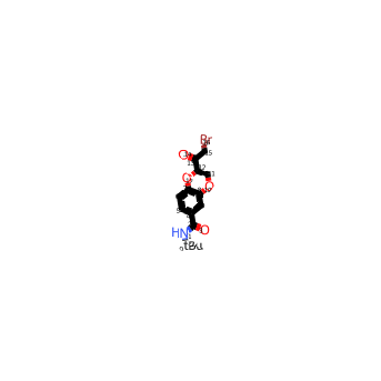 CC(C)(C)NC(=O)c1ccc2c(c1)OCC(C(=O)CBr)O2